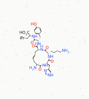 CC(C)C[C@H](NC(=O)[C@H](Cc1ccc(O)cc1)NC(=O)[C@@H]1C/C=C/C[C@H](N)C(=O)N[C@H](Cc2c[nH]cn2)C(=O)N[C@@H](CCCCN)C(=O)N1)C(=O)O